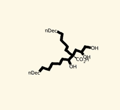 CCCCCCCCCCCCCCCC(O)[C@@](CCCCCCCCCCCCCC)(CC(O)CO)C(=O)O